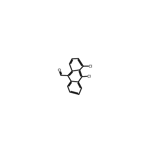 O=Cc1c2ccccc2c(Cl)c2c(Cl)cccc12